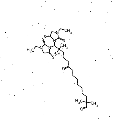 CCN1CC(=S)N(C(N2C(=S)CN(CC)C2=S)C(C)(C)CCCC(=O)CCCCCCCC(C)(C)C=O)C1=S